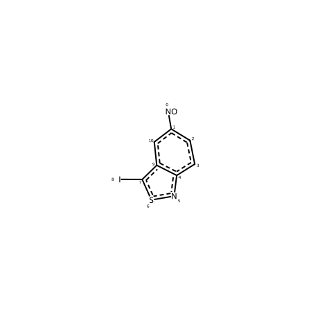 O=Nc1ccc2nsc(I)c2c1